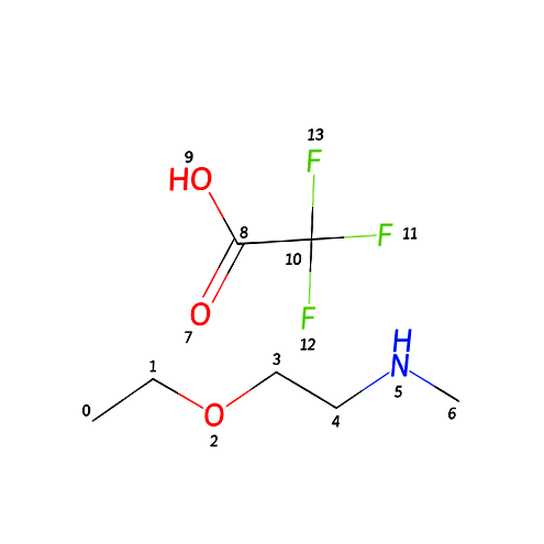 CCOCCNC.O=C(O)C(F)(F)F